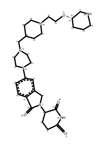 O=C1CCC(N2Cc3cc(N4CCN(CC5CCN(CCO[C@H]6CCCNC6)CC5)CC4)ccc3C2=O)C(=O)N1